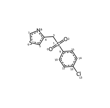 O=S(=O)(Cc1cscn1)c1ccc(Cl)cc1